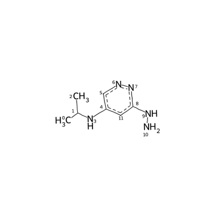 CC(C)Nc1cnnc(NN)c1